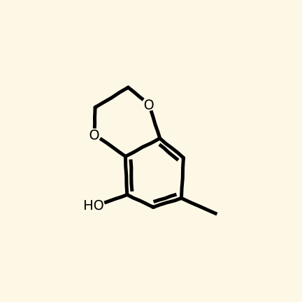 Cc1cc(O)c2c(c1)OCCO2